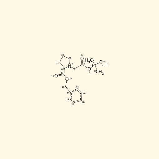 CC(C)(C)OC(=O)CN1CCCC1C(=O)OCc1ccccc1